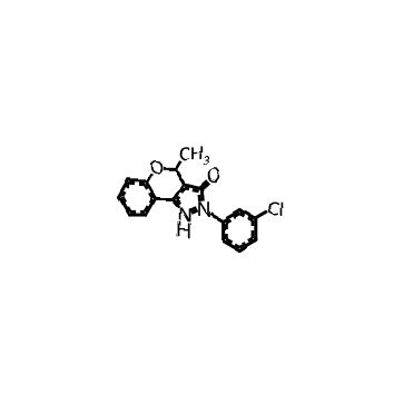 CC1Oc2ccccc2-c2[nH]n(-c3cccc(Cl)c3)c(=O)c21